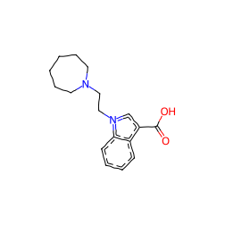 O=C(O)c1cn(CCN2CCCCCC2)c2ccccc12